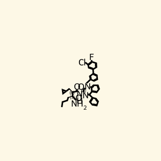 CCCC[C@H](C(N)=O)[C@@H](CC1CC1)C(=O)N[C@H]1N=C(c2ccccc2)c2ccccc2N(Cc2cccc(-c3ccc(F)c(Cl)c3)c2)C1=O